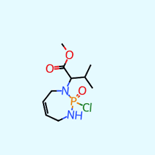 COC(=O)C(C(C)C)N1CC=CCNP1(=O)Cl